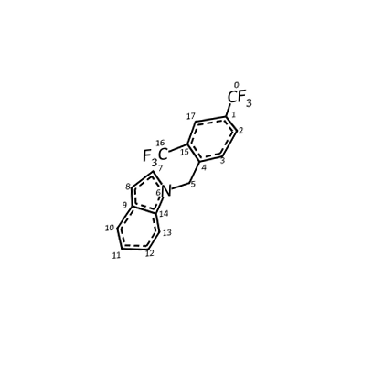 FC(F)(F)c1ccc(Cn2ccc3ccccc32)c(C(F)(F)F)c1